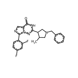 CC1CN(Cc2ccccc2)CC1c1nn2c(-c3ccc(F)cc3F)ncc2c(=O)[nH]1